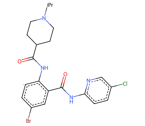 CC(C)N1CCC(C(=O)Nc2[c]cc(Br)cc2C(=O)Nc2ccc(Cl)cn2)CC1